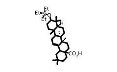 CC[Si](CC)(CC)OC1CCC2(C)C3CC=C4C5CC(C)(C)CCC5(C(=O)O)CC[C@@]4(C)[C@]3(C)CC[C@H]2C1(C)C